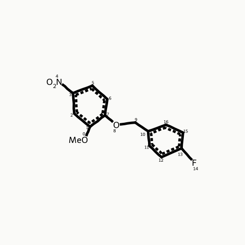 COc1cc([N+](=O)[O-])ccc1OCc1ccc(F)cc1